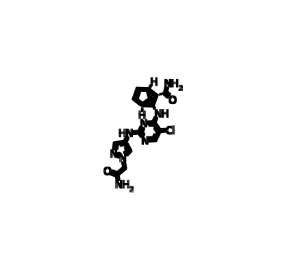 NC(=O)Cn1cc(Nc2ncc(Cl)c(N[C@H]3[C@@H](C(N)=O)[C@@H]4C=C[C@H]3C4)n2)cn1